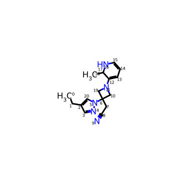 CCc1cnn(C2(CC#N)CN(C3=CC=CNC3C)C2)c1